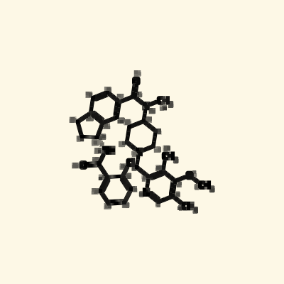 COc1c(C)cnc(CN2CCC(N(C)C(=O)c3ccc4c(c3)[C@H](NC(=O)c3ccccc3Cl)CC4)CC2)c1C